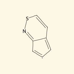 [c]1cc2ccsnc-2c1